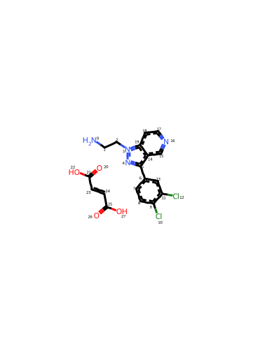 NCCn1nc(-c2ccc(Cl)c(Cl)c2)c2cnccc21.O=C(O)C=CC(=O)O